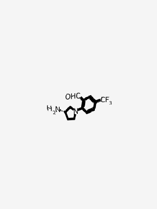 N[C@H]1CCN(c2ccc(C(F)(F)F)cc2C=O)C1